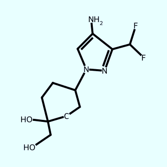 Nc1cn(C2CCC(O)(CO)CC2)nc1C(F)F